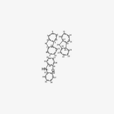 c1ccc2c(c1)Cc1ccccc1-2.c1ccc2c(c1)Cc1ccccc1-2.c1ccc2c(c1)Nc1ccccc1O2